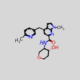 Cc1ccc(Cc2cc(C(=O)N[C@@H]3COCC[C@H]3O)nc3c2ccn3C)cn1